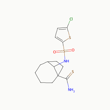 NC(=S)C12CCCCC(CC1)C2NS(=O)(=O)c1ccc(Cl)s1